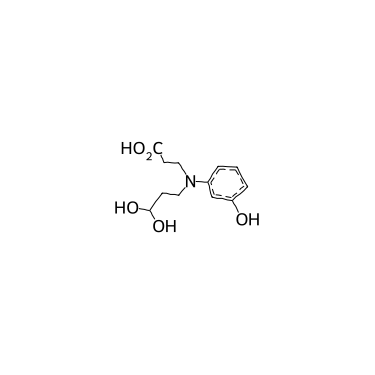 O=C(O)CCN(CCC(O)O)c1cccc(O)c1